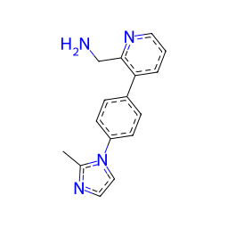 Cc1nccn1-c1ccc(-c2cccnc2CN)cc1